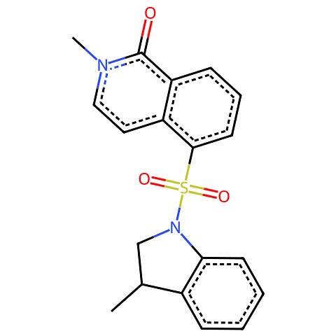 CC1CN(S(=O)(=O)c2cccc3c(=O)n(C)ccc23)c2ccccc21